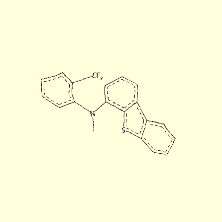 CN(c1ccccc1C(F)(F)F)c1cccc2c1sc1ccccc12